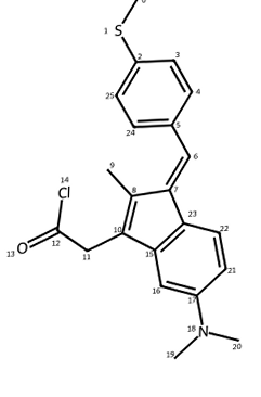 CSc1ccc(C=C2C(C)=C(CC(=O)Cl)c3cc(N(C)C)ccc32)cc1